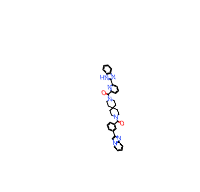 O=C(c1cccc(-c2cn3ccccc3n2)c1)N1CCC2(CC1)CCN(C(=O)c1cccc(-c3nc4ccccc4[nH]3)n1)CC2